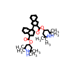 CC1(C)CC(OC(=O)c2cc3ccccc3cc2-c2ccc(C(=O)OC3CC(C)(C)NC(C)(C)C3)c3ccccc23)CC(C)(C)N1